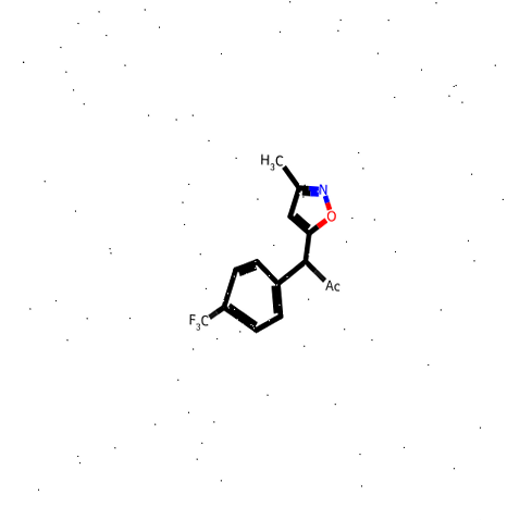 CC(=O)C(c1ccc(C(F)(F)F)cc1)c1cc(C)no1